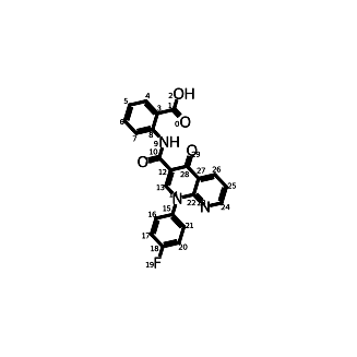 O=C(O)c1ccccc1NC(=O)c1cn(-c2ccc(F)cc2)c2ncccc2c1=O